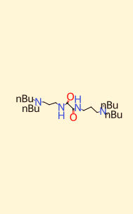 CCCCN(CCCC)CCCNC(=O)C(=O)NCCCN(CCCC)CCCC